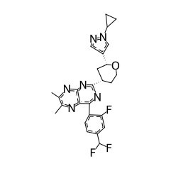 Cc1nc2nc([C@H]3CCO[C@@H](c4cnn(C5CC5)c4)C3)nc(-c3ccc(C(F)F)cc3F)c2nc1C